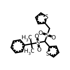 CC(C)(c1ccccc1)S(=O)(=O)[C](c1cccs1)S(=O)(=O)Cc1cccs1